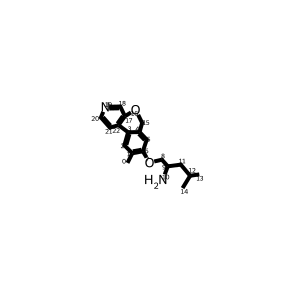 Cc1cc2c(cc1OCC(N)CC(C)C)COc1cnccc1-2